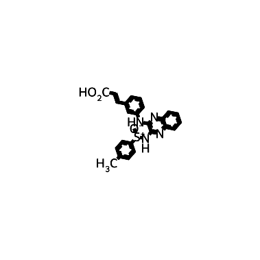 Cc1ccc([S+]([O-])Nc2nc3ccccc3nc2Nc2cccc(/C=C/C(=O)O)c2)cc1